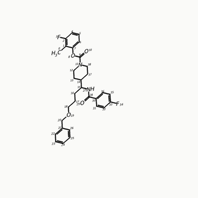 Cc1c(F)cccc1OC(=O)N1CCC(C(CCCOCc2ccccc2)NC(=O)c2ccc(F)cc2)CC1